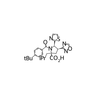 CC(C)C[C@@]1(C(=O)O)C[C@H](c2ncon2)[C@H](c2nccs2)N1C(=O)c1ccc(C(C)(C)C)cc1